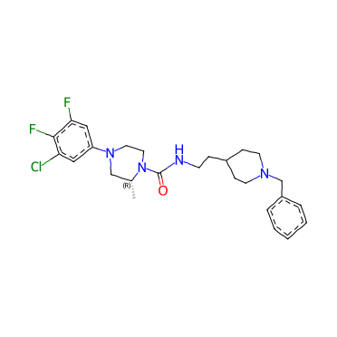 C[C@@H]1CN(c2cc(F)c(F)c(Cl)c2)CCN1C(=O)NCCC1CCN(Cc2ccccc2)CC1